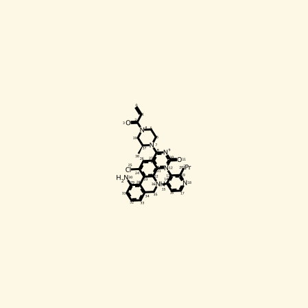 C=CC(=O)N1CCN(c2nc(=O)n(-c3c(C)ccnc3C(C)C)c3c4c(c(Cl)cc23)-c2c(N)cccc2CN4)[C@@H](C)C1